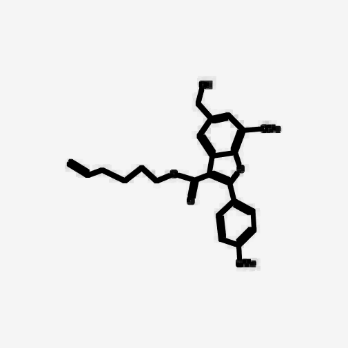 C=CCCCCOC(=O)c1c(-c2ccc(OC)cc2)oc2c(OC)cc(CO)cc12